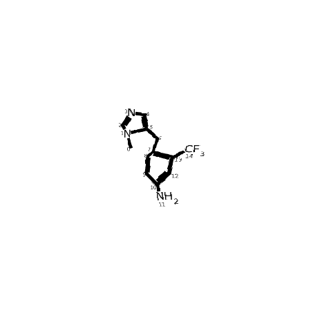 Cn1cncc1Cc1ccc(N)cc1C(F)(F)F